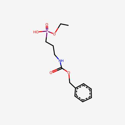 CCOP(=O)(O)CCCNC(=O)OCc1ccccc1